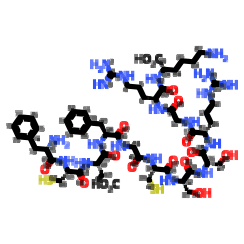 N=C(N)NCCC[C@H](NC(=O)CNC(=O)[C@H](CCCNC(=N)N)NC(=O)[C@H](CO)NC(=O)[C@H](CO)NC(=O)[C@H](CS)NC(=O)CNC(=O)[C@H](Cc1ccccc1)NC(=O)[C@H](CC(=O)O)NC(=O)[C@H](CS)NC(=O)[C@@H](N)Cc1ccccc1)C(=O)N[C@@H](CCCCN)C(=O)O